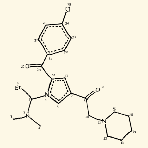 CCC(N(C)C)n1cc(C(=O)CN2CCCCC2)cc1C(=O)c1ccc(Cl)cc1